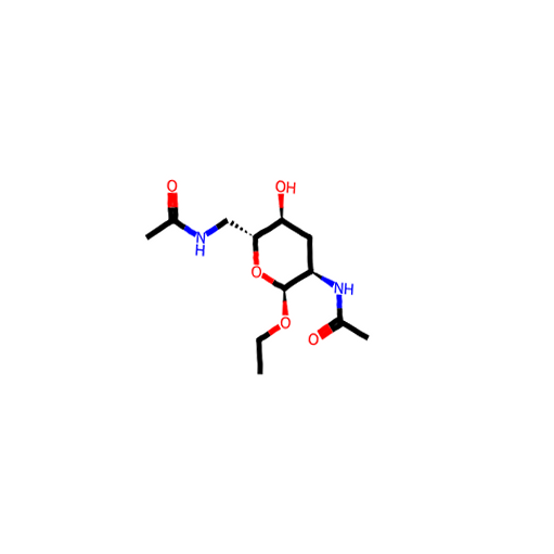 CCO[C@H]1O[C@H](CNC(C)=O)[C@@H](O)C[C@H]1NC(C)=O